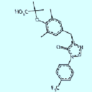 Cc1cc(Cn2ncn(-c3ccc(C(F)(F)F)cc3)c2=O)cc(C)c1OC(C)(C)C(=O)O